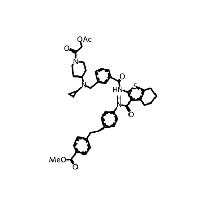 COC(=O)c1ccc(CCc2ccc(NC(=O)c3c(NC(=O)c4cccc(CN(C5CC5)C5CCN(C(=O)COC(C)=O)CC5)c4)sc4c3CCCC4)cc2)cc1